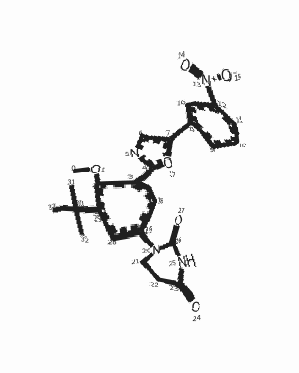 COc1c(-c2ncc(-c3cccc([N+](=O)[O-])c3)o2)cc(N2CCC(=O)NC2=O)cc1C(C)(C)C